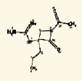 CCCC1(NC(=N)N)CN(C(C)=O)C1=O